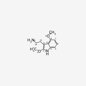 COc1[nH]c2cccc(OC)c2c1CCN